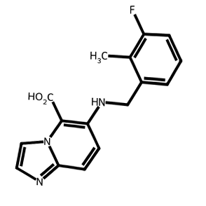 Cc1c(F)cccc1CNc1ccc2nccn2c1C(=O)O